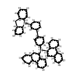 c1cc(-c2ccc(N(c3cc4ccccc4c4ccccc34)c3cc4ccccc4c4ccccc34)cc2)cc(N2c3ccccc3Cc3ccccc32)c1